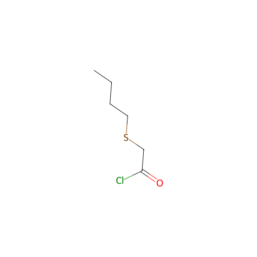 CCCCSCC(=O)Cl